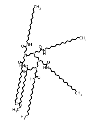 CCCCCCCCCCCCCCNC(=O)CCN(CCC(=O)NCCCCCCCCCCCCCC)CCN(CCC(=O)NCCCCCCCCCCCCCC)CCN(CCC(=O)NCCCCCCCCCCCCCC)CCN(CCC(=O)NCCCCCCCCCCCCCC)CCC(=O)NCCCCCCCCCCCCCC